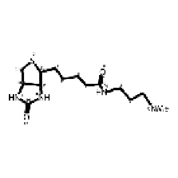 CNCCCNC(=O)CCCCC1SCC2NC(=O)NC21